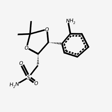 CC1(C)O[C@@H](CS(N)(=O)=O)[C@@H](c2ccccc2N)O1